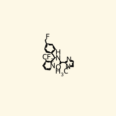 Cn1ccnc1C(=O)N[C@@H](c1ccc(CF)cc1)c1ncccc1C(F)(F)F